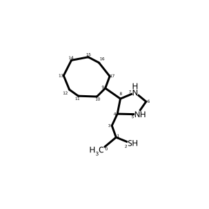 CC(S)CC1NCNC1C1CCCCCCCC1